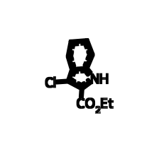 CCOC(=O)c1[nH]c2ccccc2c1Cl